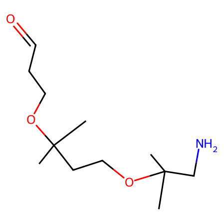 CC(C)(CN)OCCC(C)(C)OCCC=O